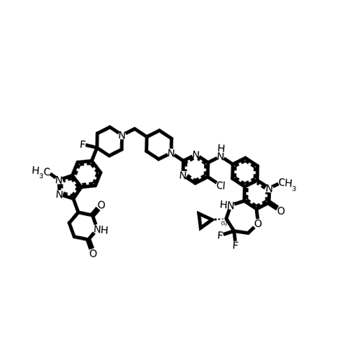 Cn1nc(C2CCC(=O)NC2=O)c2ccc(C3(F)CCN(CC4CCN(c5ncc(Cl)c(Nc6ccc7c(c6)c6c(c(=O)n7C)OCC(F)(F)[C@H](C7CC7)N6)n5)CC4)CC3)cc21